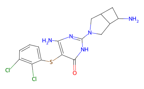 Nc1nc(N2CC3CC(N)C3C2)[nH]c(=O)c1Sc1cccc(Cl)c1Cl